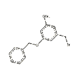 COc1cc(CBr)cc(OCc2ccccc2)c1